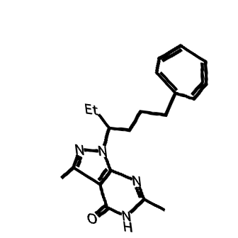 CCC(CCCC1=CC=CC=C=C1)n1nc(C)c2c(=O)[nH]c(C)nc21